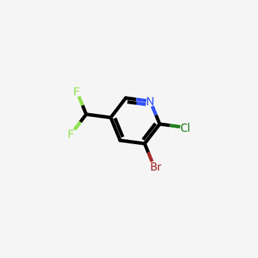 FC(F)c1cnc(Cl)c(Br)c1